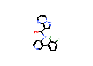 OC(Nc1ccncc1-c1cccc(Cl)c1Cl)c1cnn2cccnc12